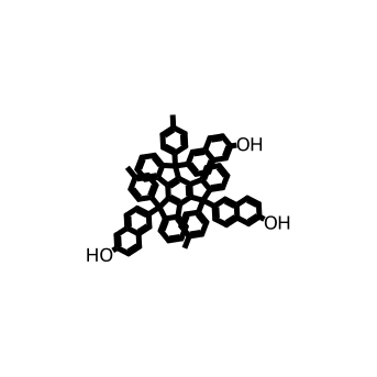 Cc1ccc(C2(c3ccc4cc(O)ccc4c3)c3ccccc3-c3c2c2c(c4c3C(c3ccc(C)cc3)(c3ccc5cc(O)ccc5c3)c3ccccc3-4)C(c3ccc(C)cc3)(c3ccc4cc(O)ccc4c3)c3ccccc3-2)cc1